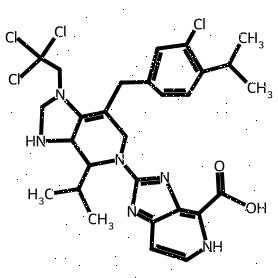 CC(C)c1ccc(CC2=C3C(NCN3CC(Cl)(Cl)Cl)C(C(C)C)N(c3nc4cc[nH]c(C(=O)O)c-4n3)C2)cc1Cl